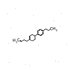 C=CCCC1=CCC(c2ccc(CCC)cc2)CC1